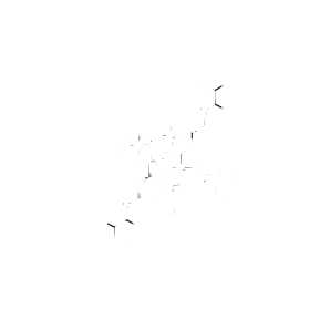 C=C(C)C(=O)NCCCC[Si](O[Si](C)(C)C)(O[Si](C)(C)C)O[Si](CCCCNC(=O)C(=C)C)(O[Si](C)(C)C)O[Si](C)(C)C